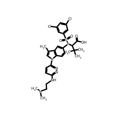 Cc1cn(-c2ccc(NCCN(C)C)nn2)c2ccc(N(C(C(=O)O)C(C)(C)C)S(=O)(=O)c3cc(Cl)cc(Cl)c3)cc12